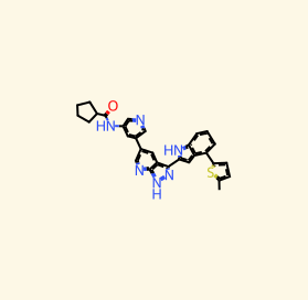 Cc1ccc(-c2cccc3[nH]c(-c4n[nH]c5ncc(-c6cncc(NC(=O)C7CCCC7)c6)cc45)cc23)s1